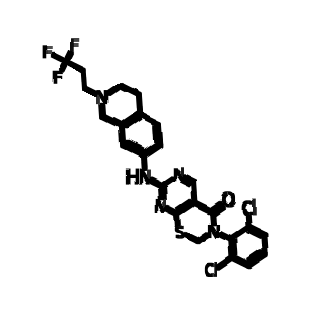 O=C1c2cnc(Nc3ccc4c(c3)CN(CCC(F)(F)F)CC4)nc2SCN1c1c(Cl)cccc1Cl